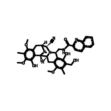 COc1c(C)c(OC)c2c(c1O)[C@H]1[C@@H]3Cc4c(OC)c(C)c(CO)c(O)c4[C@H](CNC(=O)c4ccc5ccccc5n4)N3[C@@H](C#N)[C@H](C2)N1C